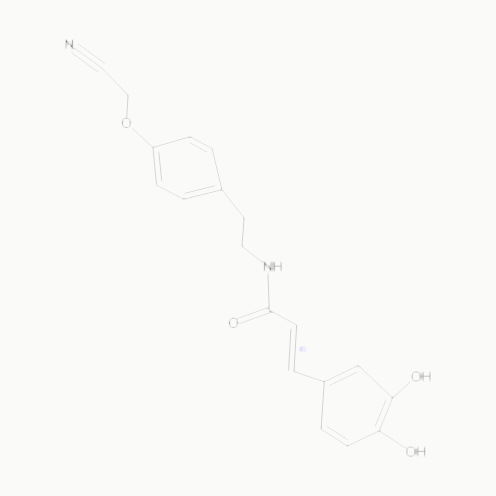 N#CCOc1ccc(CCNC(=O)/C=C/c2ccc(O)c(O)c2)cc1